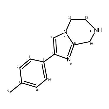 Cc1ccc(-c2cn3c(n2)CNCC3)cc1